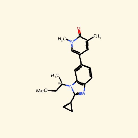 COC[C@@H](C)n1c(C2CC2)nc2ccc(-c3cc(C)c(=O)n(C)c3)cc21